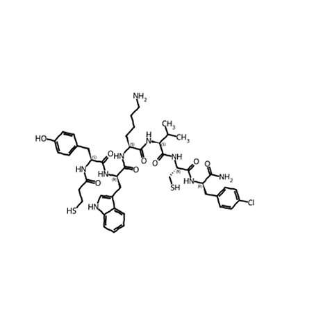 CC(C)[C@H](NC(=O)[C@H](CCCCN)NC(=O)[C@@H](Cc1c[nH]c2ccccc12)NC(=O)[C@H](Cc1ccc(O)cc1)NC(=O)CCS)C(=O)N[C@@H](CS)C(=O)N[C@H](Cc1ccc(Cl)cc1)C(N)=O